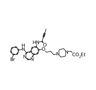 CC#CC(=O)Nc1cc2c(Nc3cccc(Br)c3)ncnc2cc1OCCCN1CCN(CC(=O)OCC)CC1